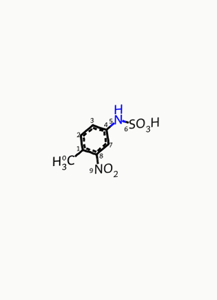 Cc1ccc(NS(=O)(=O)O)cc1[N+](=O)[O-]